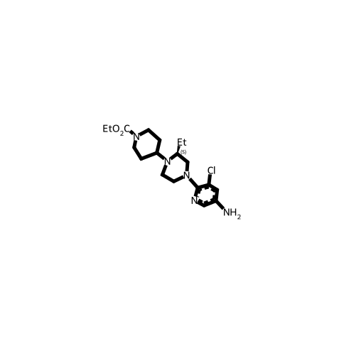 CCOC(=O)N1CCC(N2CCN(c3ncc(N)cc3Cl)C[C@@H]2CC)CC1